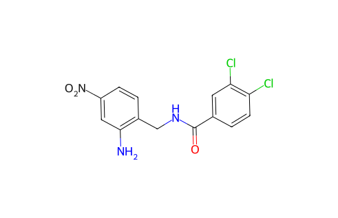 Nc1cc([N+](=O)[O-])ccc1CNC(=O)c1ccc(Cl)c(Cl)c1